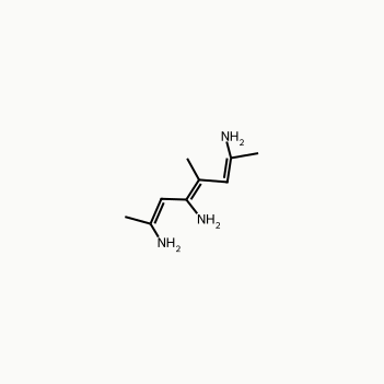 C/C(N)=C/C(C)=C(N)/C=C(/C)N